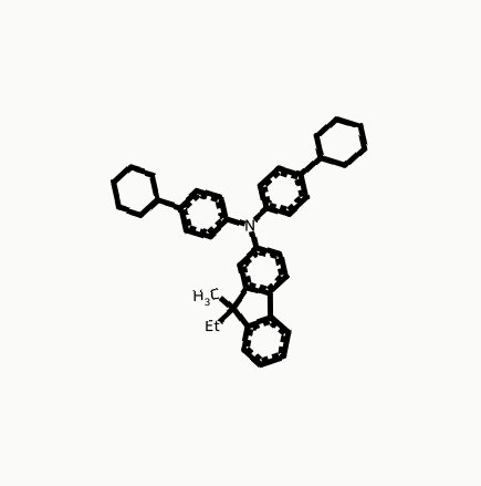 CCC1(C)c2ccccc2-c2ccc(N(c3ccc(C4CCCCC4)cc3)c3ccc(C4CCCCC4)cc3)cc21